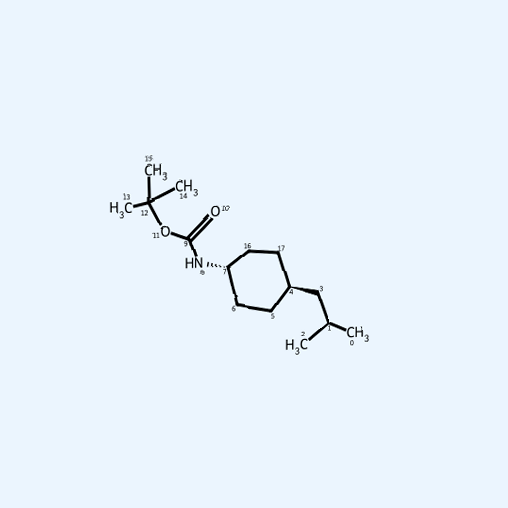 CC(C)C[C@H]1CC[C@H](NC(=O)OC(C)(C)C)CC1